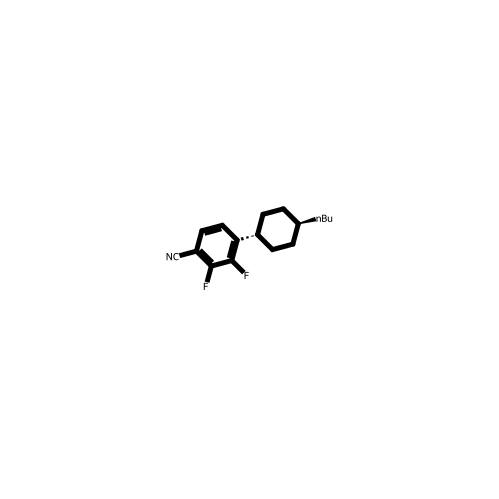 CCCC[C@H]1CC[C@H](c2ccc(C#N)c(F)c2F)CC1